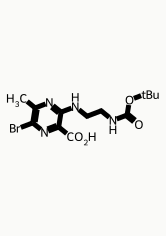 Cc1nc(NCCNC(=O)OC(C)(C)C)c(C(=O)O)nc1Br